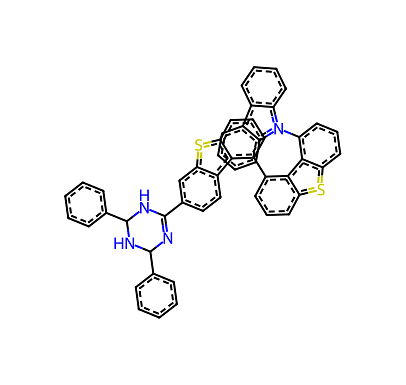 c1ccc(C2N=C(c3ccc4c(c3)sc3cccc(-c5cccc6sc7cccc(-n8c9ccccc9c9ccccc98)c7c56)c34)NC(c3ccccc3)N2)cc1